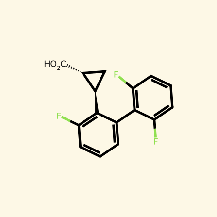 O=C(O)[C@@H]1C[C@H]1c1c(F)cccc1-c1c(F)cccc1F